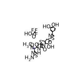 CO/N=C(\C(=O)N[C@@H]1C(=O)N2C(C(=O)O)=C(CSc3nc(-c4ccc(O)c(O)c4)cs3)CS[C@H]12)c1csc(N)n1.O=C(O)C(F)(F)F